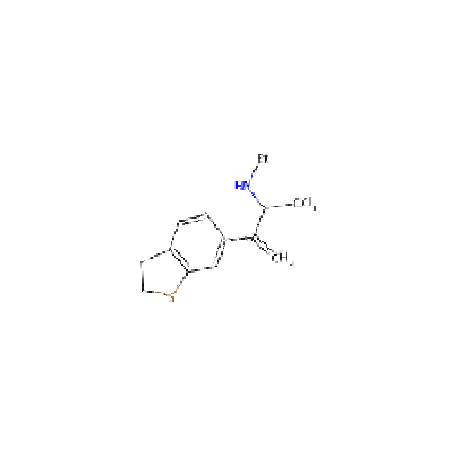 C=C(c1ccc2c(c1)SCC2)C(NCC)C(Cl)(Cl)Cl